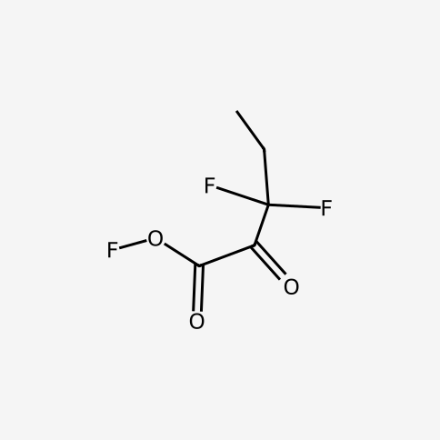 CCC(F)(F)C(=O)C(=O)OF